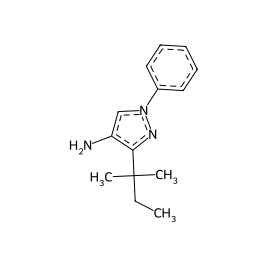 CCC(C)(C)c1nn(-c2ccccc2)cc1N